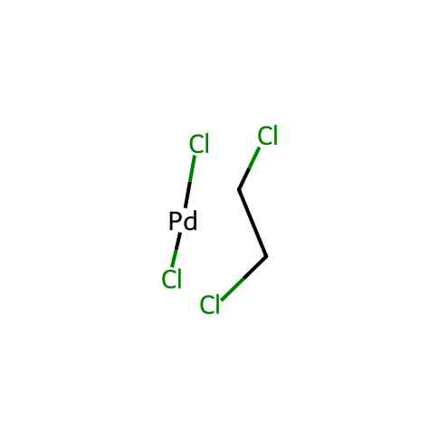 ClCCCl.[Cl][Pd][Cl]